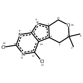 CC1(C)Cc2c(sc3nc(Cl)nc(Cl)c23)CO1